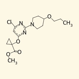 CCCOC1CCN(c2nc(Cl)cc(OC3(C(=O)OC)CC3)n2)CC1